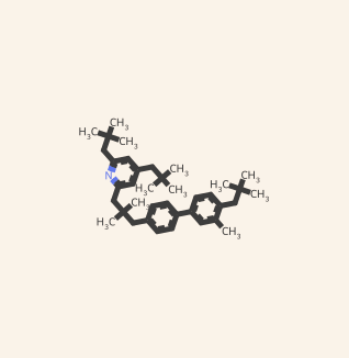 Cc1cc(-c2ccc(CC(C)(C)Cc3cc(CC(C)(C)C)cc(CC(C)(C)C)n3)cc2)ccc1CC(C)(C)C